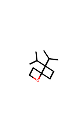 CC(C)C1(C(C)C)CCC12CCO2